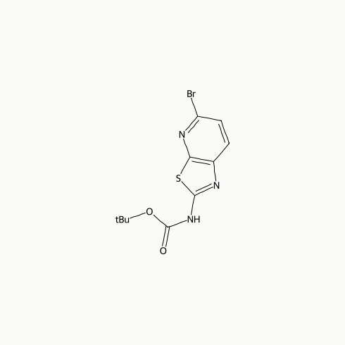 CC(C)(C)OC(=O)Nc1nc2ccc(Br)nc2s1